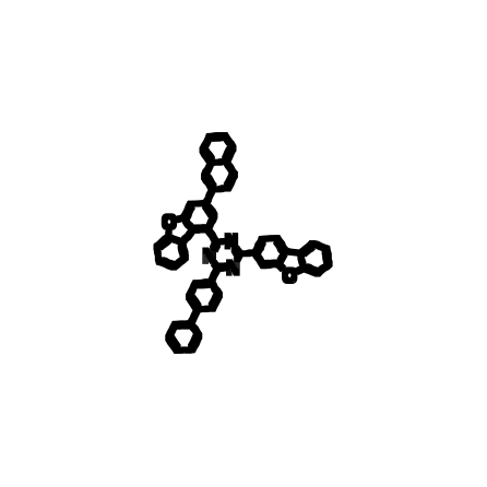 c1ccc(-c2ccc(-c3nc(-c4ccc5c(c4)oc4ccccc45)nc(-c4cc(-c5ccc6ccccc6c5)cc5oc6ccccc6c45)n3)cc2)cc1